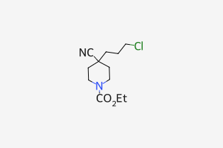 CCOC(=O)N1CCC(C#N)(CCCCl)CC1